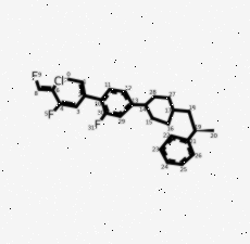 C\C=C(/C=C(F)\C(Cl)=C\F)c1ccc(C2CCC(C[C@@H](C)c3ccccc3)CC2)cc1F